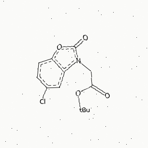 CC(C)(C)OC(=O)Cn1c(=O)oc2ccc(Cl)cc21